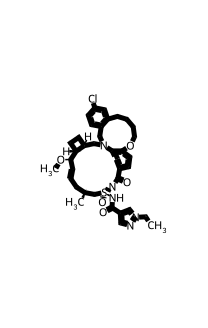 CCn1cc(C(=O)N[S@@]2(=O)=NC(=O)c3ccc4c(c3)N(Cc3ccc(Cl)cc3CCCCO4)C[C@@H]3CC[C@H]3[C@@H](OC)/C=C/C[C@H](C)C2)cn1